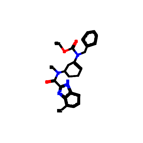 CCN(C(=O)c1nc2c(C#N)cccc2[nH]1)C1CCC=C(N(Cc2ccccc2)C(=O)OC(C)(C)C)C1